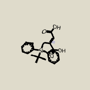 CC(C)(C)[Si](C/C(=C\C(=O)O)C(=O)O)(c1ccccc1)c1ccccc1